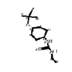 CCNC(=O)N[C@H]1CC[C@H](CC(C)(C)C)CC1